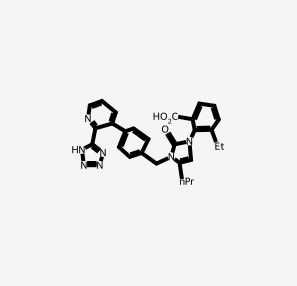 CCCc1cn(-c2c(CC)cccc2C(=O)O)c(=O)n1Cc1ccc(-c2cccnc2-c2nnn[nH]2)cc1